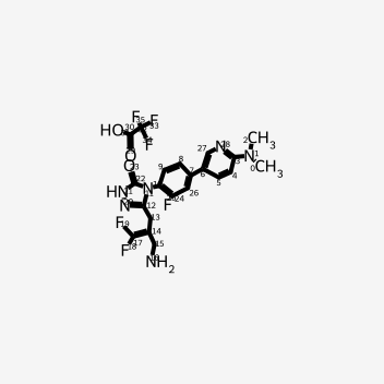 CN(C)c1ccc(-c2ccc(-n3c(CC(CN)=C(F)F)n[nH]c3=O)c(F)c2)cn1.O=C(O)C(F)(F)F